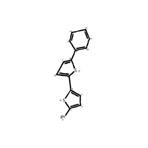 CC(C)c1ccc(-c2ccc(-c3ccccc3)s2)s1